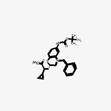 COC(=O)C(C[C@H]1CN(Cc2ccccc2)c2cc(NC(=O)OC(C)(C)C(F)(F)F)ccc2O1)C1CC1